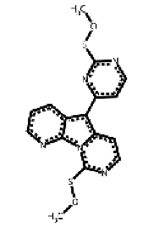 COSc1nccc(-c2c3cccnc3n3c(SOC)nccc23)n1